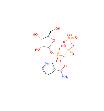 NC(=O)c1cccnc1.O=P(O)(O)OP(=O)(O)OP(=O)(O)OC1O[C@H](CO)[C@@H](O)[C@H]1O